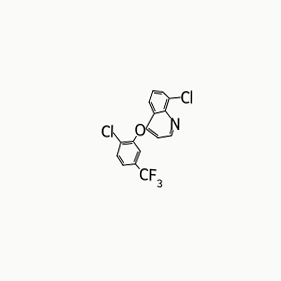 FC(F)(F)c1ccc(Cl)c(Oc2ccnc3c(Cl)cccc23)c1